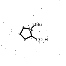 CC(C)(C)N1CCCC1C(=O)O